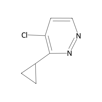 Clc1ccnnc1C1CC1